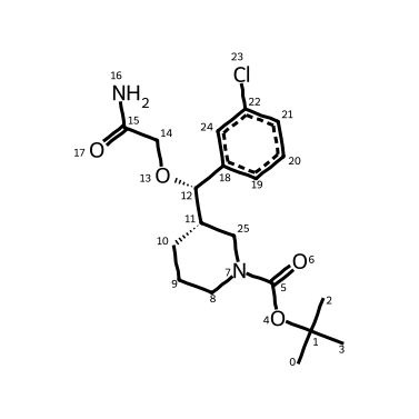 CC(C)(C)OC(=O)N1CCC[C@H]([C@H](OCC(N)=O)c2cccc(Cl)c2)C1